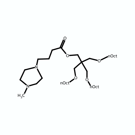 CCCCCCCCOCC(COCCCCCCCC)(COCCCCCCCC)COC(=O)CCCN1CCN(C)CC1